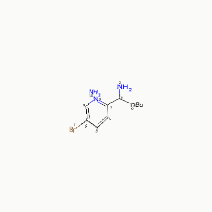 CCCCC(N)c1ccc(Br)cn1.N